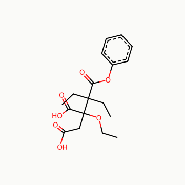 CCOC(CC(=O)O)(C(=O)O)C(CC)(CC)C(=O)Oc1ccccc1